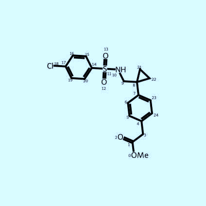 COC(=O)Cc1ccc(C2(CNS(=O)(=O)c3ccc(Cl)cc3)CC2)cc1